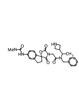 CNC(=O)Nc1ccc2c(c1)CCC21OC(=O)N(CC(=O)N(Cc2ccccc2)C(C)C2CNC2)C1=O